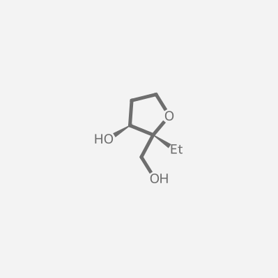 CC[C@]1(CO)OCC[C@@H]1O